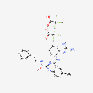 Cc1ccc2nc(C(=O)NCCc3ccccc3)nc(NC3CCCCC3NC(=N)N)c2c1.O=C(O)C(F)(F)F.O=C(O)C(F)(F)F